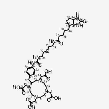 O=C(O)CN1CCN(CC(=O)O)CCN(CC(=O)O)C(Cc2ccc(NC(=S)NCCOCCNC(=O)CCCCC3SCC4NC(=O)NC43)cc2)CN(CC(=O)O)CC1